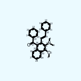 COc1c(N(C)C)c(C=Cc2ccccc2)c(C(=O)c2ccccc2)c2ccccc12